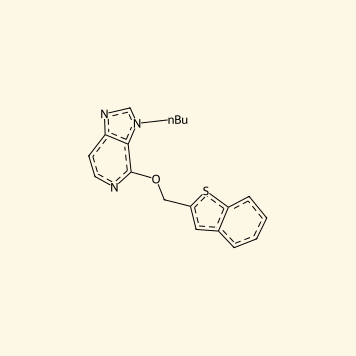 CCCCn1cnc2ccnc(OCc3cc4ccccc4s3)c21